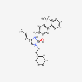 CCC=Cc1cn(CCC2CCCCC2)c(=O)n1Cc1ccc(-c2ccccc2C(=O)O)cc1